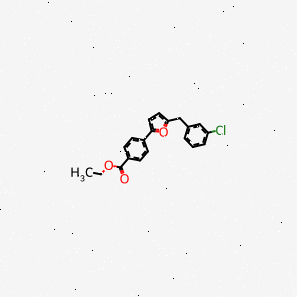 CCOC(=O)c1ccc(-c2ccc(Cc3cccc(Cl)c3)o2)cc1